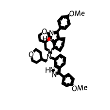 COc1ccc(-c2n[nH]c3c(N(CC4CCOCC4)N(CC4CCOCC4)c4cccc5c(-c6ccc(OC)cc6)n[nH]c45)cccc23)cc1